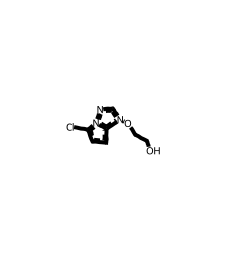 OCCOn1cnn2c(Cl)ccc12